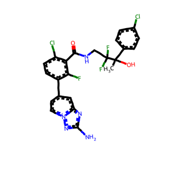 CC(O)(c1ccc(Cl)cc1)C(F)(F)CNC(=O)c1c(Cl)ccc(-c2ccn3nc(N)nc3c2)c1F